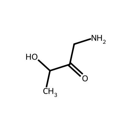 CC(O)C(=O)CN